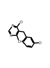 Cc1ncnc(Cl)c1Cc1cccc(Cl)c1